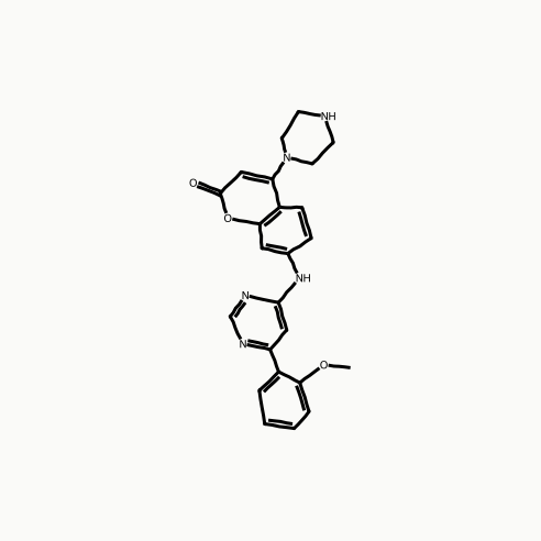 COc1ccccc1-c1cc(Nc2ccc3c(N4CCNCC4)cc(=O)oc3c2)ncn1